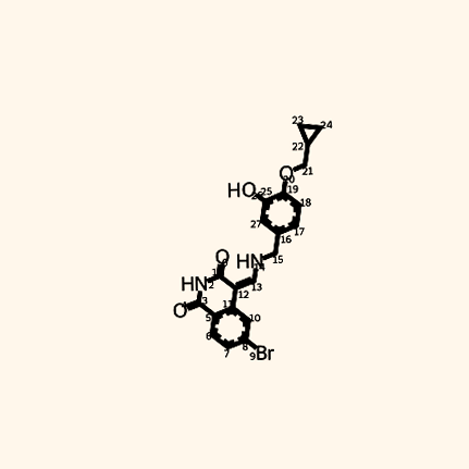 O=C1NC(=O)c2ccc(Br)cc2/C1=C/NCc1ccc(OCC2CC2)c(O)c1